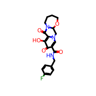 O=C(NCc1ccc(F)cc1)c1cn2c(c(O)c1=O)C(=O)N1CCCCOC1C2